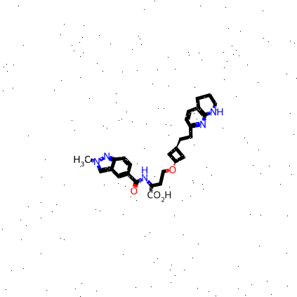 Cn1cc2cc(C(=O)NC(CCO[C@H]3C[C@H](CCc4ccc5c(n4)NCCC5)C3)C(=O)O)ccc2n1